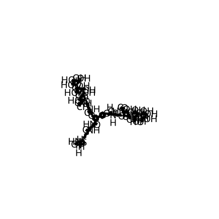 CC(=O)NC1C(O)[C@H](O[C@@H]2OC(CO)[C@H](O)C(O[C@H]3OC(CO)[C@H](O)C(O)C3O)C2O)C(CO)O[C@H]1OCCCNC(=O)COc1ccc(-c2cc(OCC(=O)NCCCO[C@@H]3OC(CO)[C@@H](O[C@@H]4OC(CO)[C@H](O)C(O[C@H]5OC(CO)[C@H](O)C(O)C5O)C4O)C(O)C3NC(C)=O)cc(C(=O)NCCNC(=O)CCCC[C@@H]3SC[C@@H]4NC(=O)N[C@@H]43)c2)cc1